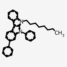 CCCCCCCCn1c2ccccc2c2c3ccc(-c4ccccc4)cc3n(-c3ccccc3)c21